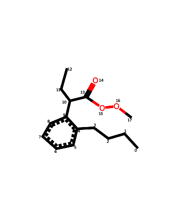 CCCCc1ccccc1C(CC)C(=O)OOC